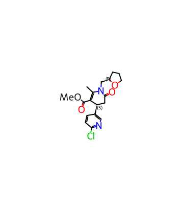 COC(=O)C1=C(C)N(C[C@H]2CCCO2)C(=O)C[C@H]1c1ccc(Cl)nc1